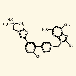 CCc1nc2c(C)cc(C)nc2n1Cc1ccc(-c2cc(-c3cn(CS(C)(C)C)nn3)ccc2C#N)cc1